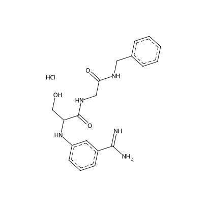 Cl.N=C(N)c1cccc(NC(CO)C(=O)NCC(=O)NCc2ccccc2)c1